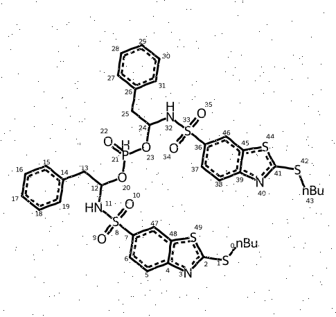 CCCCSc1nc2ccc(S(=O)(=O)NC(Cc3ccccc3)O[PH](=O)OC(Cc3ccccc3)NS(=O)(=O)c3ccc4nc(SCCCC)sc4c3)cc2s1